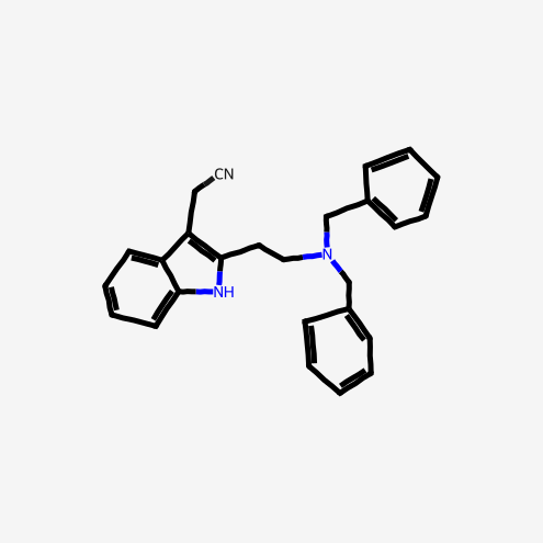 N#CCc1c(CCN(Cc2ccccc2)Cc2ccccc2)[nH]c2ccccc12